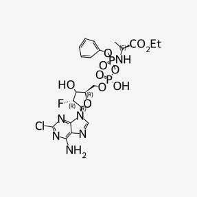 CCOC(=O)[C@H](C)NP(=O)(Oc1ccccc1)OP(=O)(O)OC[C@H]1O[C@@H](n2cnc3c(N)nc(Cl)nc32)[C@H](F)C1O